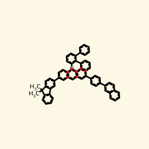 CC1(C)c2ccccc2-c2cc(-c3ccc(N(c4ccc(-c5ccc(-c6ccc7ccccc7c6)cc5)cc4)c4cccc(-c5ccccc5)c4-c4ccccc4-c4ccccc4)cc3)ccc21